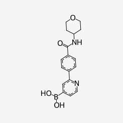 O=C(NC1CCOCC1)c1ccc(-c2cc(B(O)O)ccn2)cc1